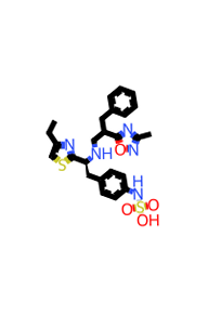 CCc1csc([C@H](Cc2ccc(NS(=O)(=O)O)cc2)NCC(Cc2ccccc2)c2nc(C)no2)n1